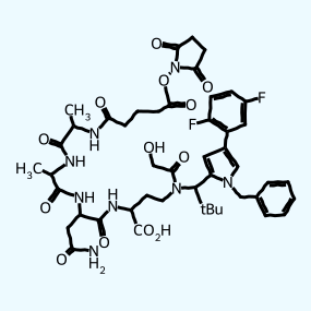 CC(NC(=O)CCCC(=O)ON1C(=O)CCC1=O)C(=O)NC(C)C(=O)NC(CC(N)=O)C(=O)NC(CCN(C(=O)CO)C(c1cc(-c2cc(F)ccc2F)cn1Cc1ccccc1)C(C)(C)C)C(=O)O